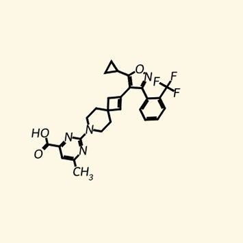 Cc1cc(C(=O)O)nc(N2CCC3(C=C(c4c(-c5ccccc5C(F)(F)F)noc4C4CC4)C3)CC2)n1